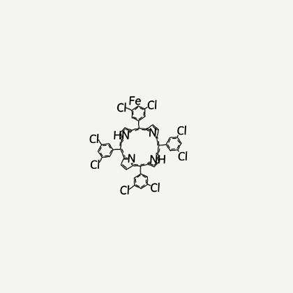 Clc1cc(Cl)cc(-c2c3nc(c(-c4cc(Cl)cc(Cl)c4)c4ccc([nH]4)c(-c4cc(Cl)cc(Cl)c4)c4nc(c(-c5cc(Cl)cc(Cl)c5)c5ccc2[nH]5)C=C4)C=C3)c1.[Fe]